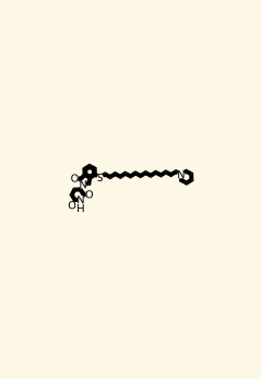 O=C1CCC(N2Cc3c(SCCCCCCCCCCCCCCCN4CCCCC4)cccc3C2=O)C(=O)N1